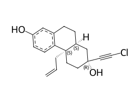 C=CC[C@@]12CC[C@](O)(C#CCl)C[C@@H]1CCc1cc(O)ccc12